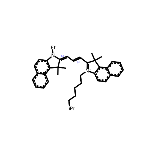 CCN1/C(=C/C=C/C2=[N+](CCCCCC(C)C)c3ccc4ccccc4c3C2(C)C)C(C)(C)c2c1ccc1ccccc21